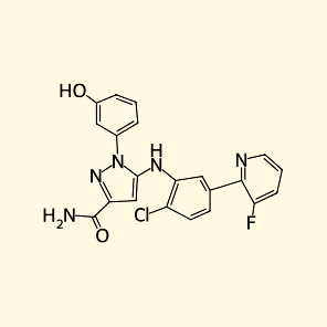 NC(=O)c1cc(Nc2cc(-c3ncccc3F)ccc2Cl)n(-c2cccc(O)c2)n1